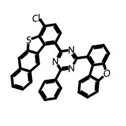 Clc1ccc(-c2nc(-c3ccccc3)nc(-c3cccc4oc5ccccc5c34)n2)c2c1sc1cc3ccccc3cc12